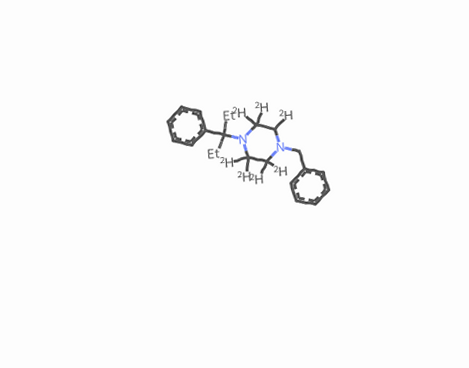 [2H]C1N(Cc2ccccc2)C([2H])([2H])C([2H])([2H])N(C(CC)(CC)c2ccccc2)C1([2H])[2H]